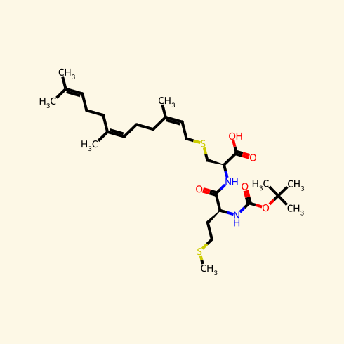 CSCC[C@H](NC(=O)OC(C)(C)C)C(=O)N[C@@H](CSCC=C(C)CCC=C(C)CCC=C(C)C)C(=O)O